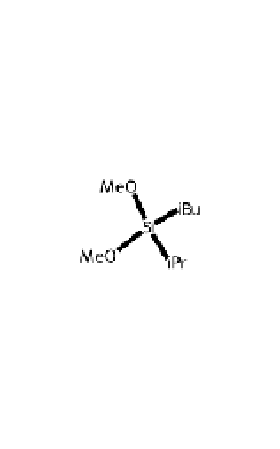 CCC(C)[Si](OC)(OC)C(C)C